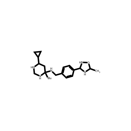 CCC(C)C1(NCc2ccc(C3NOC(C)N3)cc2)CC(C2CC2)NCN1